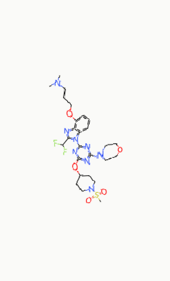 CN(C)CCCOc1cccc2c1nc(C(F)F)n2-c1nc(OC2CCN(S(C)(=O)=O)CC2)nc(N2CCOCC2)n1